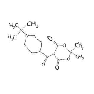 CC1(C)OC(=O)C(C(=O)C2CCN(C(C)(C)C)CC2)C(=O)O1